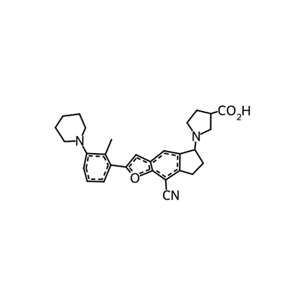 Cc1c(-c2cc3cc4c(c(C#N)c3o2)CCC4N2CCC(C(=O)O)C2)cccc1N1CCCCC1